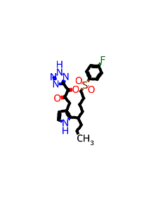 CCCC(CCCCS(=O)(=O)c1ccc(F)cc1)c1[nH]ccc1CC(=O)C(=O)c1nn[nH]n1